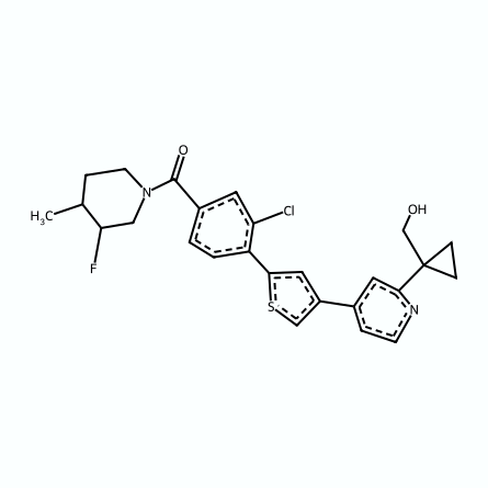 CC1CCN(C(=O)c2ccc(-c3cc(-c4ccnc(C5(CO)CC5)c4)cs3)c(Cl)c2)CC1F